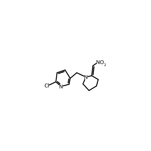 O=[N+]([O-])C=C1CCCCN1Cc1ccc(Cl)nc1